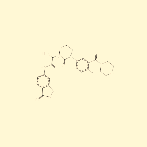 C[C@@H]1COCCN1C(=O)c1cc(N2CCO[C@H](C(O)C(=O)Nc3ccc4c(c3)CNC4=N)C2=O)ccc1F